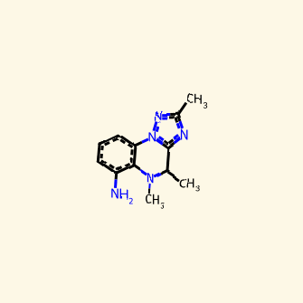 Cc1nc2n(n1)-c1cccc(N)c1N(C)C2C